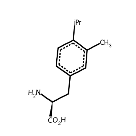 Cc1cc(C[C@H](N)C(=O)O)ccc1C(C)C